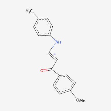 COc1ccc(C(=O)/C=C/Nc2ccc(C)cc2)cc1